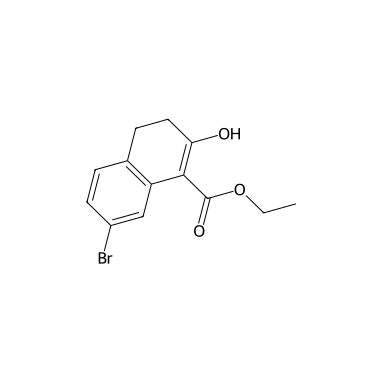 CCOC(=O)C1=C(O)CCc2ccc(Br)cc21